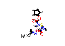 CSC(C)=NOC(=O)N(C)SN(C)C(=O)OC1CCCC1